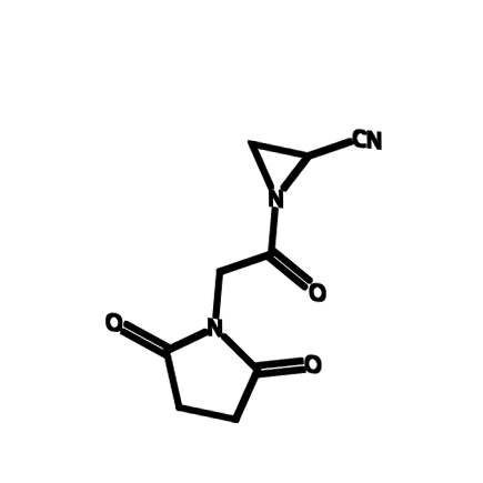 N#CC1CN1C(=O)CN1C(=O)CCC1=O